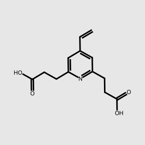 C=Cc1cc(CCC(=O)O)nc(CCC(=O)O)c1